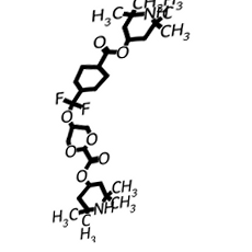 CC1(C)CC(OC(=O)C2CCC(C(F)(F)OC3COC(C(=O)OC4CC(C)(C)NC(C)(C)C4)OC3)CC2)CC(C)(C)N1